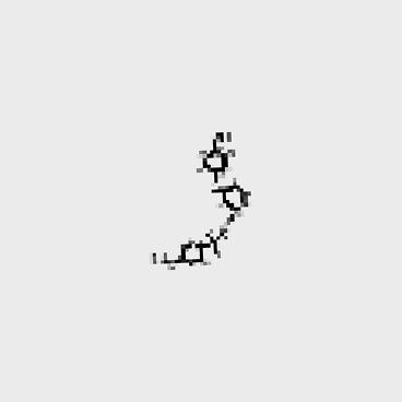 CCOc1ccc(C(C)(C)COCc2cccc(Oc3ccc(O)cc3)c2)cc1